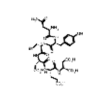 CC(C)C[C@H](NC(=O)[C@H](Cc1ccc(O)cc1)NC(=O)[C@@H](N)CC(N)=O)C(=O)N[C@@H](CC(=O)O)C(=O)N[C@@H](CCC(=O)O)C(=O)N[C@@H](CC(=O)O)C(=O)O